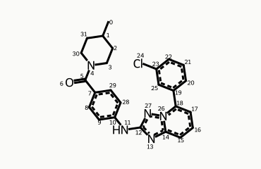 CC1CCN(C(=O)c2ccc(Nc3nc4cccc(-c5cccc(Cl)c5)n4n3)cc2)CC1